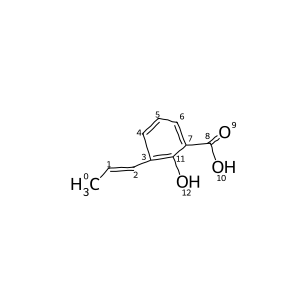 CC=Cc1cccc(C(=O)O)c1O